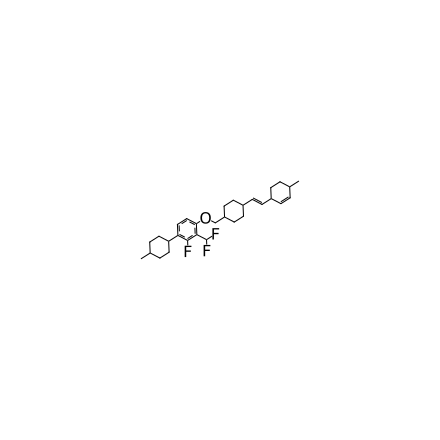 CC1C=CC(/C=C/C2CCC(COc3ccc(C4CCC(C)CC4)c(F)c3C(F)F)CC2)CC1